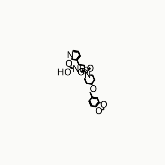 O=C(O)NC(CS(=O)(=O)N1CCC(OCc2ccc3c(c2)OCO3)CC1)c1cccnc1